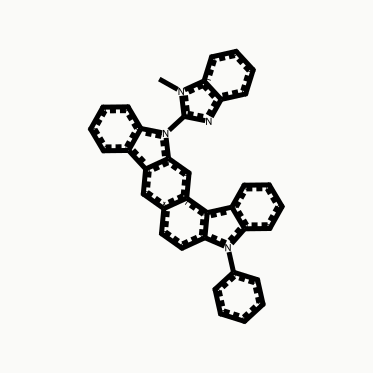 Cn1c(-n2c3ccccc3c3cc4ccc5c(c4cc32)c2ccccc2n5-c2ccccc2)nc2ccccc21